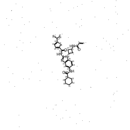 C=CC(=O)N[C@H]1C[C@@H](n2c(NC(=O)c3ccc(C(F)F)s3)nc3cc(NC(=O)C4CCCCC4)ccc32)C1